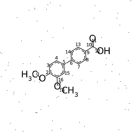 COc1ccc(-c2ccc(C(=O)O)cc2)cc1OC